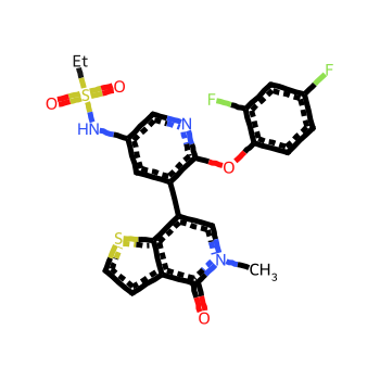 CCS(=O)(=O)Nc1cnc(Oc2ccc(F)cc2F)c(-c2cn(C)c(=O)c3ccsc23)c1